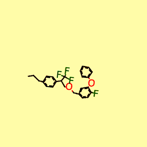 CCCc1ccc(C(COCc2ccc(F)c(Oc3ccccc3)c2)C(F)(F)F)cc1